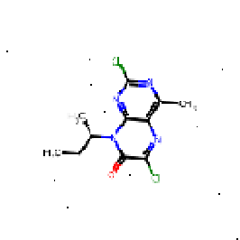 CC[C@@H](C)n1c(=O)c(Cl)nc2c(C)nc(Cl)nc21